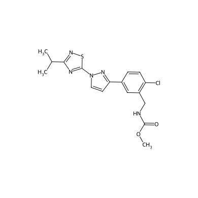 COC(=O)NCc1cc(-c2ccn(-c3nc(C(C)C)ns3)n2)ccc1Cl